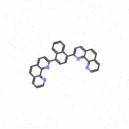 c1cnc2c(c1)ccc1ccc(-c3ccc(-c4ccc5ccc6cccnc6c5n4)c4ccccc34)nc12